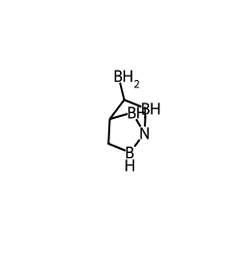 BC1BN2BCC1B2